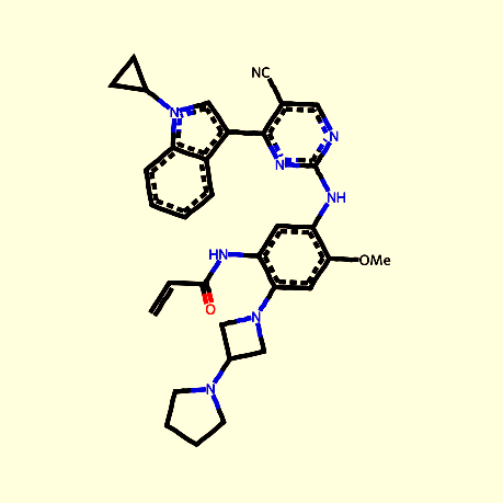 C=CC(=O)Nc1cc(Nc2ncc(C#N)c(-c3cn(C4CC4)c4ccccc34)n2)c(OC)cc1N1CC(N2CCCC2)C1